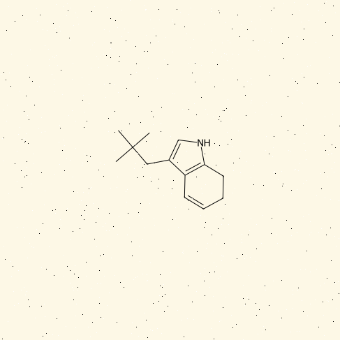 CC(C)(C)Cc1c[nH]c2c1C=CCC2